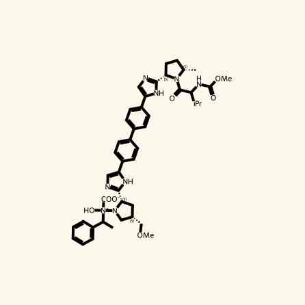 COC[C@H]1C[C@@H](c2ncc(-c3ccc(-c4ccc(-c5cnc([C@@H]6CC[C@H](C)N6C(=O)C(NC(=O)OC)C(C)C)[nH]5)cc4)cc3)[nH]2)N([N+](O)(C(=O)[O-])C(C)c2ccccc2)C1